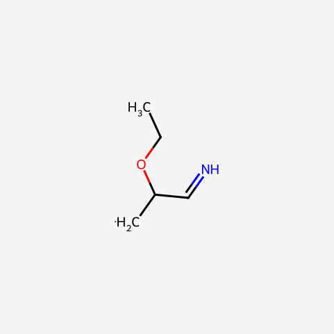 [CH2]C(C=N)OCC